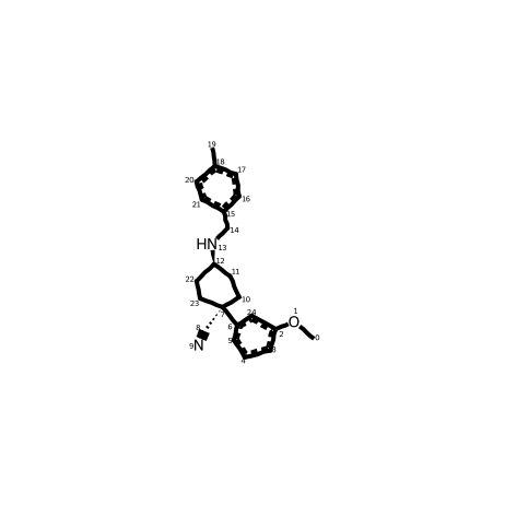 COc1cccc([C@]2(C#N)CC[C@H](NCc3ccc(C)cc3)CC2)c1